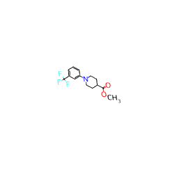 COC(=O)C1CCN(c2cccc(C(F)(F)F)c2)CC1